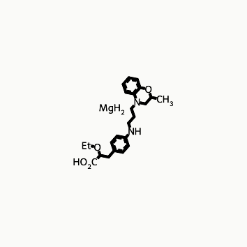 CCOC(Cc1ccc(NCCCN2CC(C)Oc3ccccc32)cc1)C(=O)O.[MgH2]